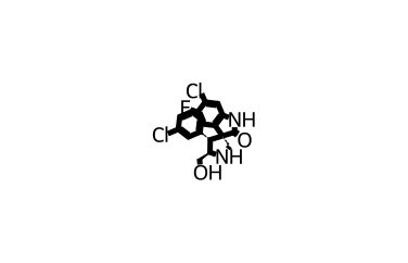 O=C1Nc2cc(Cl)c(F)cc2[C@@]12CN[C@@H](CO)[C@@H]2c1cccc(Cl)c1